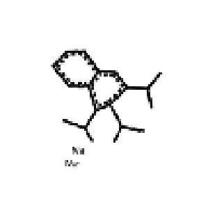 CC(C)c1cc2ccccc2c(C(C)C)c1C(C)C.[Na].[Na]